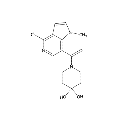 Cn1ccc2c(Cl)ncc(C(=O)N3CCS(O)(O)CC3)c21